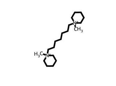 C[N+]1(CCCCCCC[N+]2(C)CCCCC2)CCCCC1